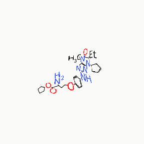 CC[C@@H]1C(=O)N(C)c2cnc(Nc3ccc(OCCC(N)C(=O)OC4CCCC4)cc3)nc2N1C1CCCC1